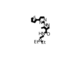 CCN(CC)CCNC(=O)c1cnn(-c2nccc(-c3cccs3)n2)c1C